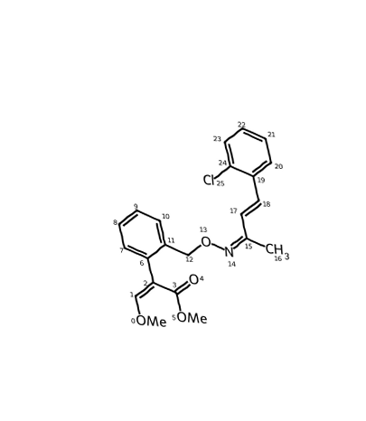 COC=C(C(=O)OC)c1ccccc1CON=C(C)C=Cc1ccccc1Cl